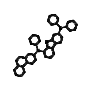 c1ccc(N(c2ccccc2)c2ccc3c(c2)oc2c(N(c4ccccc4)c4ccc5c(ccc6ccccc65)c4)cccc23)cc1